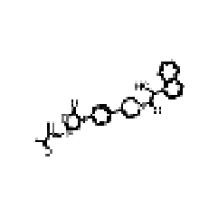 CC(=O)NC[C@H]1CN(c2ccc(C3=CCN(C(=O)C(O)c4cccc5ccccc45)CC3)cc2)C(=O)O1